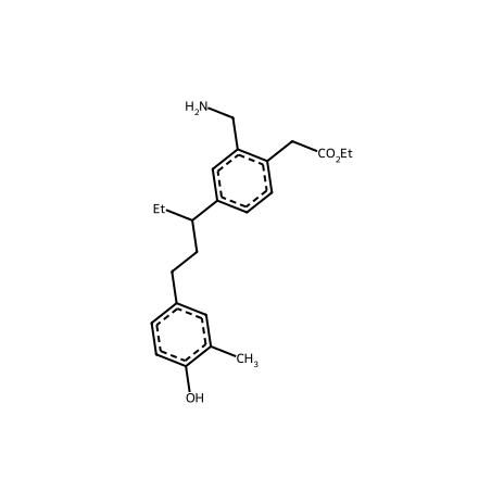 CCOC(=O)Cc1ccc(C(CC)CCc2ccc(O)c(C)c2)cc1CN